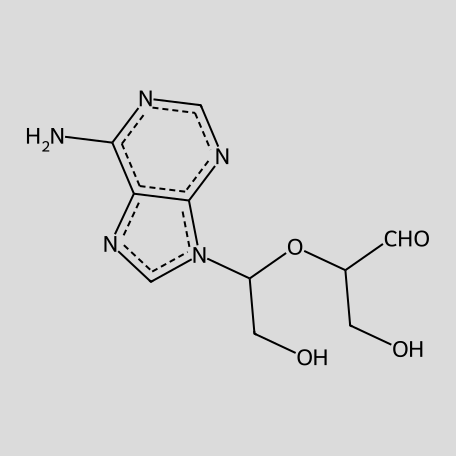 Nc1ncnc2c1ncn2C(CO)OC(C=O)CO